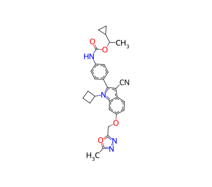 Cc1nnc(COc2ccc3c(C#N)c(-c4ccc(NC(=O)OC(C)C5CC5)cc4)n(C4CCC4)c3c2)o1